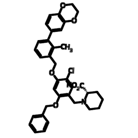 Cc1c(COc2cc(OCc3ccccc3)c(CN3CCCC[C@H]3C(=O)O)cc2Cl)cccc1-c1ccc2c(c1)OCCO2